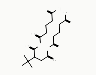 CC(C)(C)C(CC(=N)OC(=O)CCCC(=O)O)C(=O)OC(=O)CCCC(=O)O